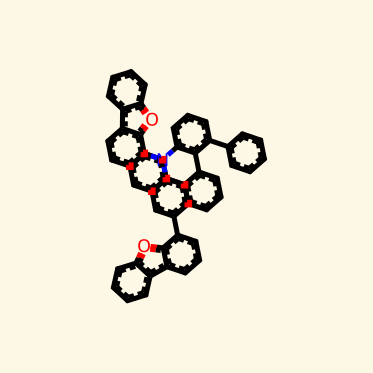 c1ccc(-c2ccccc2-c2c(-c3ccccc3)cccc2N(c2ccc(-c3cccc4c3oc3ccccc34)cc2)c2cccc3c2oc2ccccc23)cc1